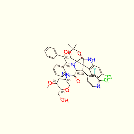 CO[C@H]1C[C@@H](NC(=O)[C@H]2[C@H](c3ccnc(Cl)c3F)C3(C(=O)Nc4cc(Cl)ccc43)C3(CCC(C)(C)CC3)N2[C@H](c2ccccc2)[C@@H](O)c2ccccc2)CO[C@@H]1CO